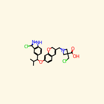 CC(C)C(Oc1ccc2c(c1)OCC(CN1CC(CCl)(C(=O)O)C1)=C2)c1ccc2[nH]nc(Cl)c2c1